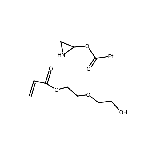 C=CC(=O)OCCOCCO.CCC(=O)OC1CN1